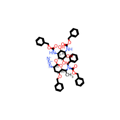 C[C@@H]([C@H]1O[C@H](O[C@H]2[C@H](O)[C@@H](O)[C@H](NC(=O)OCc3ccccc3)[C@@H](O)[C@@H]2NC(=O)OCc2ccccc2)[C@H](N=[N+]=[N-])C[C@@H]1OCc1ccccc1)N(Cc1ccccc1)C(=O)OCc1ccccc1